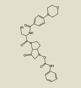 CC(C)CC(NC(=O)c1ccc(N2CCOCC2)cc1)C(=O)N1CCC2C1C(=O)CN2OC(=O)Nc1ccccc1